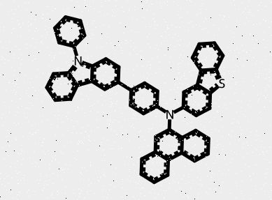 c1ccc(-n2c3ccccc3c3cc(-c4ccc(N(c5ccc6sc7ccccc7c6c5)c5cc6ccccc6c6ccccc56)cc4)ccc32)cc1